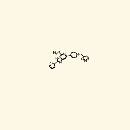 Nc1nc(C2=CCN(Cc3csnn3)CC2)cc2nc(-c3ccco3)nn12